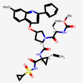 C=C[C@@H]1C[C@]1(NC(=O)[C@@H]1CC(Oc2cc(-c3ccccc3)nc3cc(OC)ccc23)CN1C(=O)[C@H](CNC)NC(=O)OC(C)(C)C)C(=O)NS(=O)(=O)C1CC1